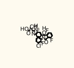 CN(C(=O)O)c1nc2ccc(C3(O)c4c(F)ccc(F)c4C(=O)N3c3cccc(Cl)c3F)cc2[nH]1